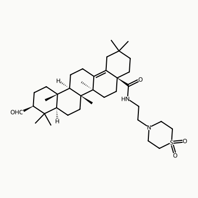 CC1(C)CC[C@]2(C(=O)NCCN3CCS(=O)(=O)CC3)CC[C@]3(C)C(=C2C1)CC[C@@H]1[C@@]2(C)CC[C@H](C=O)C(C)(C)[C@@H]2CC[C@]13C